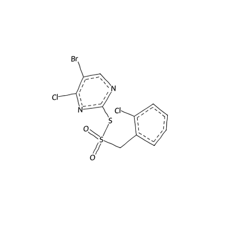 O=S(=O)(Cc1ccccc1Cl)Sc1ncc(Br)c(Cl)n1